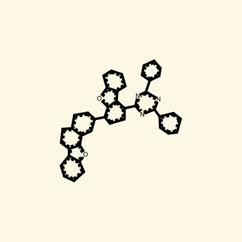 c1ccc(-c2nc(-c3ccccc3)nc(-c3ccc(-c4ccc5ccc6c7ccccc7oc6c5c4)c4oc5ccccc5c34)n2)cc1